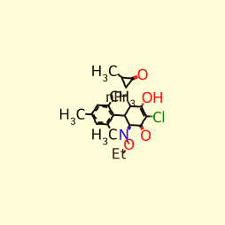 CC1CC1=O.CCCC1C(O)=C(Cl)C(=O)C(=NOCC)C1c1c(C)cc(C)cc1C